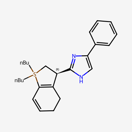 CCCCS1(CCCC)C[C@@H](c2nc(-c3ccccc3)c[nH]2)C2=C1C=CCC2